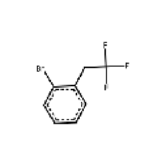 FC(F)(F)[CH]c1ccccc1Br